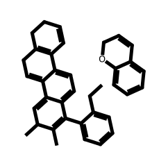 C1=Cc2ccccc2OC1.CCc1ccccc1C1=C(C)C(C)C=c2c1ccc1c2=CCC2=C1C=CCC2